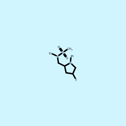 CCN(CC1CC(F)CN1C(C)C)S(C)(=O)=O